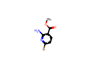 CC(C)(C)OC(=O)c1ccc(Br)nc1N